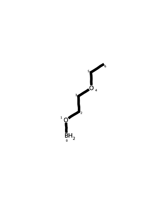 BOCCOCC